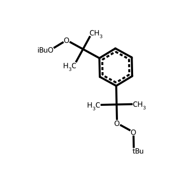 CC(C)COOC(C)(C)c1cccc(C(C)(C)OOC(C)(C)C)c1